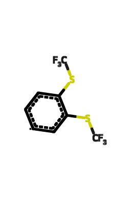 FC(F)(F)Sc1c[c]ccc1SC(F)(F)F